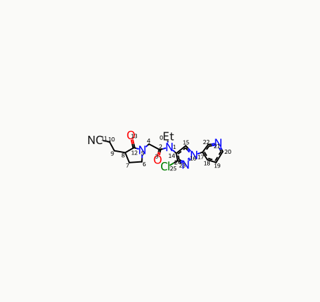 CCN(C(=O)CN1CCC(CCC#N)C1=O)c1cn(-c2cccnc2)nc1Cl